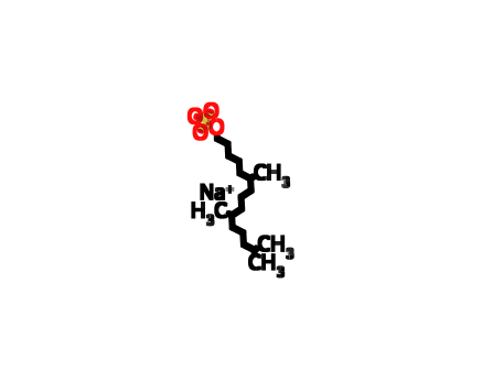 CC(C)CCCC(C)CCCC(C)CCCCCOS(=O)(=O)[O-].[Na+]